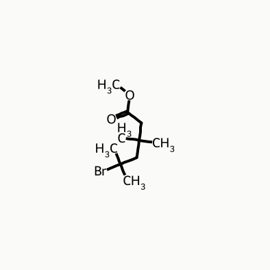 COC(=O)CC(C)(C)CC(C)(C)Br